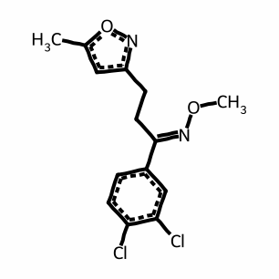 CO/N=C(\CCc1cc(C)on1)c1ccc(Cl)c(Cl)c1